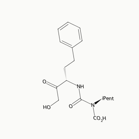 CCC[C@H](C)N(C(=O)O)C(=O)N[C@@H](CCc1ccccc1)C(=O)CO